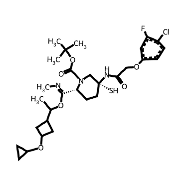 C/N=C(\OC(C)C1CC(OC2CC2)C1)[C@H]1CC[C@](S)(NC(=O)COc2ccc(Cl)c(F)c2)CN1C(=O)OC(C)(C)C